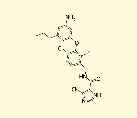 CCCc1cc(N)cc(Oc2c(Cl)ccc(CNC(=O)c3[nH]cnc3Cl)c2F)c1